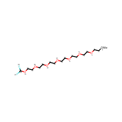 COCCOCCOCCOCCOCCOCCOCCOC(F)F